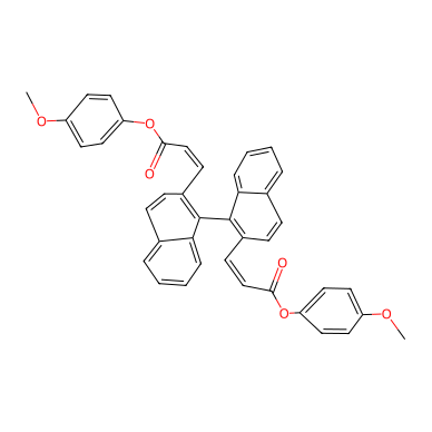 COc1ccc(OC(=O)/C=C\c2ccc3ccccc3c2-c2c(/C=C\C(=O)Oc3ccc(OC)cc3)ccc3ccccc23)cc1